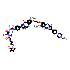 CCC1CC(=O)N(CCCCCC(=O)N[C@H](C(=O)N[C@@H](C)C(=O)Nc2ccc(C3=CN4C(=O)c5cc(OC)c(OCCCOc6cc7c(cc6OC)C(=O)N6C=C(c8ccc(N9CCN(C)CC9)cc8)C[C@H]6C=N7)cc5N=C[C@@H]4C3)cc2)C(C)C)C1=O